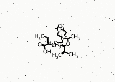 C=C(C)C(=O)OC(C)[N+](CC)(CC)CC.CC=C(C)C(=O)O.[Cl-]